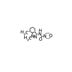 Cc1cccc2c(NC(=O)N3CCOCC3)nn(C)c12